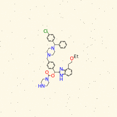 CCOCCc1cccc2[nH]c(C(OC(=O)N3CCNCC3)c3ccc(CN4CCN(C(c5ccccc5)c5ccc(Cl)cc5)CC4)cc3)nc12